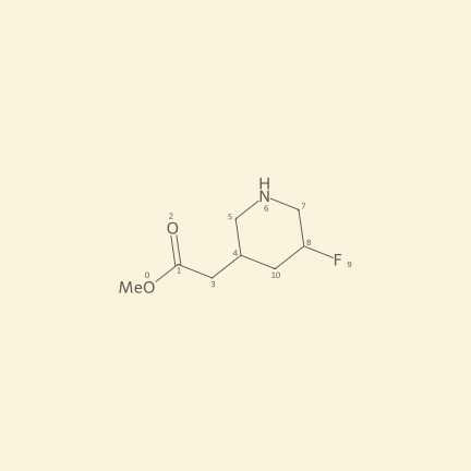 COC(=O)CC1CNCC(F)C1